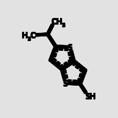 CC(C)c1cc2sc(S)cc2s1